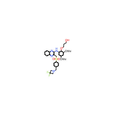 COc1cc(Nc2nc3ccccc3nc2CS(=O)(=O)c2ccc(CN3CC(F)(F)C3)cc2)c(OCCCO)c(OC)c1